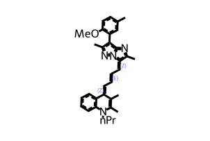 CCCN1C(C)=C(C)\C(=C/C=C/C=c2/c(C)nc3c(-c4cc(C)ccc4OC)c(C)nn23)c2ccccc21